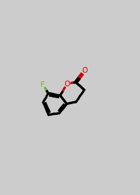 O=C1CCc2cccc(F)c2O1